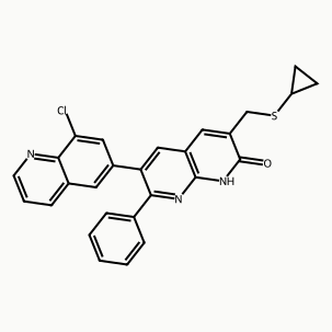 O=c1[nH]c2nc(-c3ccccc3)c(-c3cc(Cl)c4ncccc4c3)cc2cc1CSC1CC1